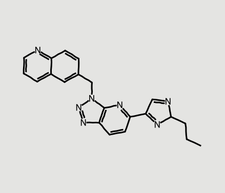 CCCC1N=CC(c2ccc3nnn(Cc4ccc5ncccc5c4)c3n2)=N1